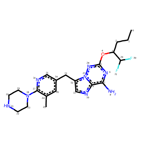 CCCC(Oc1nc(N)c2ncc(Cc3cnc(N4CCNCC4)c(C)c3)n2n1)C(F)F